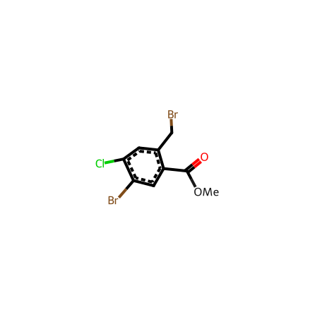 COC(=O)c1cc(Br)c(Cl)cc1CBr